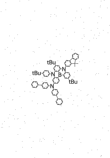 CC(C)(C)c1ccc(N2c3cc(N(c4ccc(-c5ccccc5)cc4)c4ccc(-c5ccccc5)cc4)ccc3B3c4cc(C(C)(C)C)ccc4N(c4ccc5c(c4)C(C)(C)c4ccccc4-5)c4cc(C(C)(C)C)cc2c43)cc1